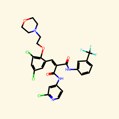 O=C(Nc1cccc(C(F)(F)F)c1)/C(=C/c1cc(Cl)cc(Cl)c1OCCN1CCOCC1)C(=O)Nc1ccnc(Cl)c1